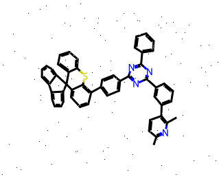 Cc1ccc(-c2cccc(-c3nc(-c4ccccc4)nc(-c4ccc(-c5cccc6c5Sc5ccccc5C65c6ccccc6-c6ccccc65)cc4)n3)c2)c(C)n1